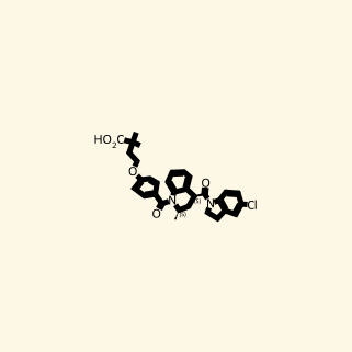 C[C@H]1C[C@H](C(=O)N2CCc3cc(Cl)ccc32)c2ccccc2N1C(=O)c1ccc(OCCC(C)(C)C(=O)O)cc1